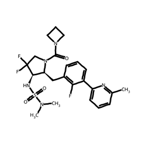 Cc1cccc(-c2cccc(C[C@H]3[C@@H](NS(=O)(=O)N(C)C)C(F)(F)CN3C(=O)N3CCC3)c2F)n1